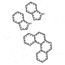 c1ccc2[nH]cnc2c1.c1ccc2[nH]cnc2c1.c1ccc2c(c1)cnc1ccc3cccnc3c12